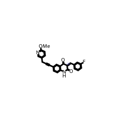 COc1ccc(CC#Cc2ccc3c(c2)C(=O)/C(=C/c2cccc(F)c2)C(=O)N3)cn1